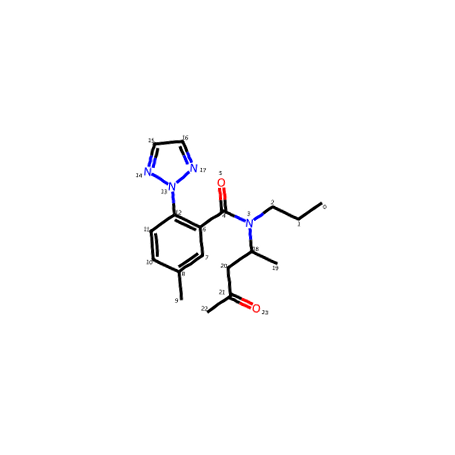 CCCN(C(=O)c1cc(C)ccc1-n1nccn1)C(C)CC(C)=O